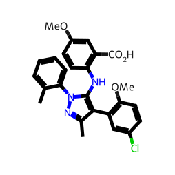 COc1ccc(Nc2c(-c3cc(Cl)ccc3OC)c(C)nn2-c2ccccc2C)c(C(=O)O)c1